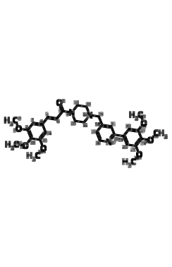 COc1cc(C=CC(=O)N2CCN(Cc3ccnc(-c4cc(OC)c(OC)c(OC)c4)c3)CC2)cc(OC)c1OC